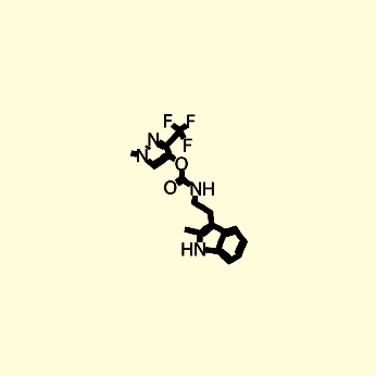 Cc1[nH]c2ccccc2c1CCNC(=O)Oc1cn(C)nc1C(F)(F)F